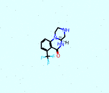 O=C1N[C@@H]2CNCCN2c2cccc(C(F)(F)F)c21